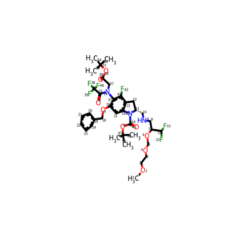 COCCOCOC(CNC[C@H]1Cc2c(cc(OCc3ccccc3)c(N(CC(=O)OC(C)(C)C)C(=O)C(F)(F)F)c2F)N1C(=O)OC(C)(C)C)C(F)F